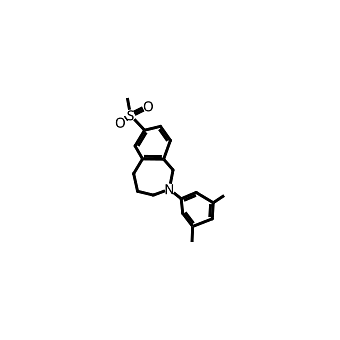 Cc1cc(C)cc(N2CCCc3cc(S(C)(=O)=O)ccc3C2)c1